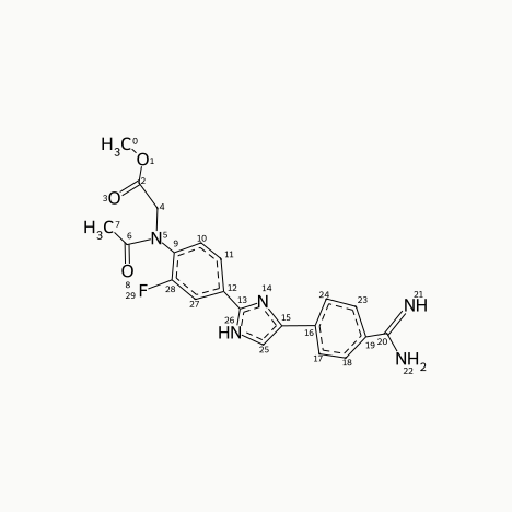 COC(=O)CN(C(C)=O)c1ccc(-c2nc(-c3ccc(C(=N)N)cc3)c[nH]2)cc1F